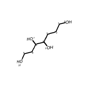 OCCCC(O)C(O)CCO